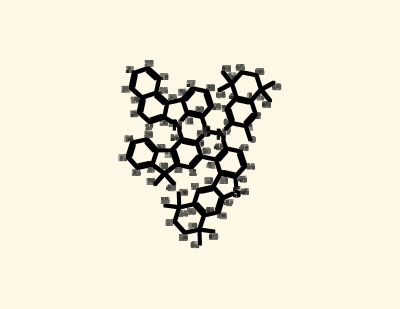 Cc1cc2c(cc1N1B3c4c(cc5c(c4-n4c6ccc7ccccc7c6c6cccc3c64)-c3ccccc3C5(C)C)-c3c1ccc1sc4cc5c(cc4c31)C(C)(C)CCC5(C)C)C(C)(C)CCC2(C)C